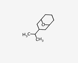 CC(C)C1CC2CCCC(C1)O2